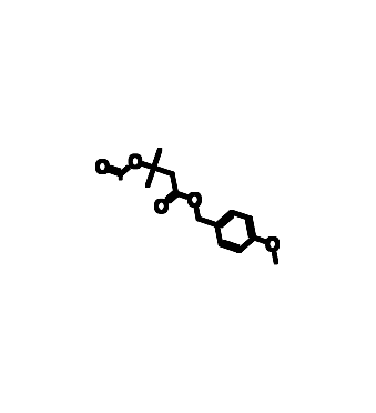 COc1ccc(COC(=O)CC(C)(C)O[C]=O)cc1